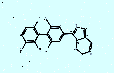 Oc1c(Cl)ccc(F)c1-c1c(F)cc(-c2ncc3n2CCN=C3)cc1Cl